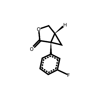 O=C1OC[C@@H]2C[C@]12c1cccc(F)c1